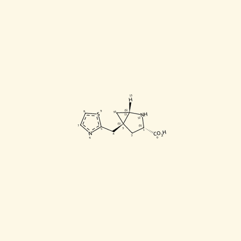 O=C(O)[C@@H]1C[C@]2(Cc3nccs3)C[C@@H]2N1